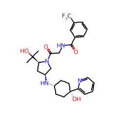 CC(C)(O)[C@@H]1C[C@H](N[C@H]2CC[C@](O)(c3ccccn3)CC2)CN1C(=O)CNC(=O)c1cccc(C(F)(F)F)c1